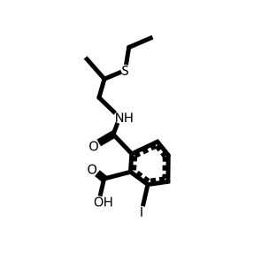 CCSC(C)CNC(=O)c1cccc(I)c1C(=O)O